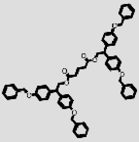 O=C(CCCC(=O)OCC(c1ccc(OCc2ccccc2)cc1)c1ccc(OCc2ccccc2)cc1)OCC(c1ccc(OCc2ccccc2)cc1)c1ccc(OCc2ccccc2)cc1